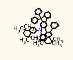 CC1(C)CCC(C)(C)c2cc(N(c3ccccc3)c3cc4c(cc3-c3cc5c(cc3-c3ccccc3)C(C)(C)CCC5(C)C)-c3ccccc3C4(c3ccccc3)c3ccccc3)ccc21